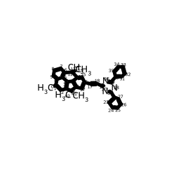 Cc1cc2c3c4c(cccc14)C(C)(C)c1cc(C#Cc4nc(-c5ccccc5)nc(-c5ccccc5)n4)cc(c1-3)C2(C)C